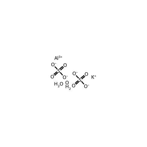 O.O.O=S(=O)([O-])[O-].O=S(=O)([O-])[O-].[Al+3].[K+]